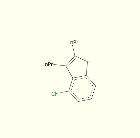 CCCC1=C(CCC)c2c(Cl)cccc2[CH]1